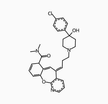 CN(C)C(=O)C1C=CC=C2Oc3ncccc3C(=CCCN3CCC(O)(c4ccc(Cl)cc4)CC3)C=C21